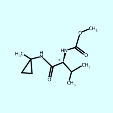 COC(=O)N[C@H](C(=O)NC1(C)CC1)C(C)C